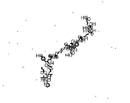 CCCC(=O)OCN(C(=O)[C@@H](NC(=O)[C@H]1CCCCN1C)C(C)CC)[C@H](C[C@@H](C)c1nc(C(=O)N[C@@H](Cc2ccc(O)cc2)C[C@H](C)C(=O)NNC(=O)OCCSSCCNC(=O)[C@H](CC(=O)O)NC(=O)[C@H](CC(=O)O)NC(=O)Cc2ccc(CNC(=O)NCCCC[C@@H](NC(=O)N[C@@H](CCCC(=O)O)C(=O)O)C(=O)O)cc2)cs1)C(C)C